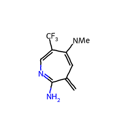 C=C1C=C(NC)C(C(F)(F)F)=CN=C1N